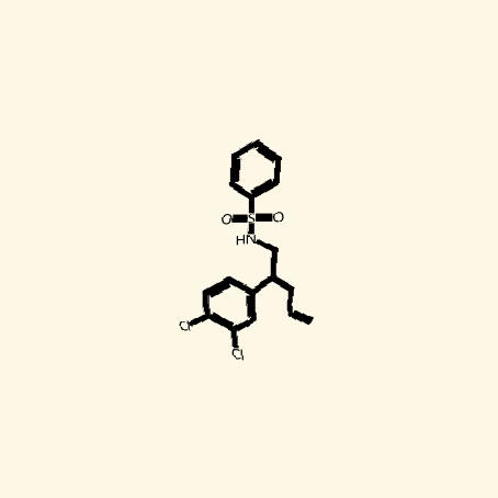 C=CCC(CNS(=O)(=O)c1ccccc1)c1ccc(Cl)c(Cl)c1